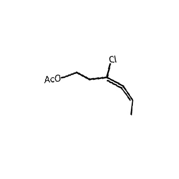 CC=C=C(Cl)CCOC(C)=O